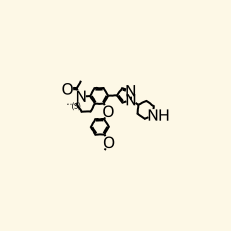 COc1cccc(Oc2c(-c3cnn(C4CCNCC4)c3)ccc3c2CC[C@H](C)N3C(C)=O)c1